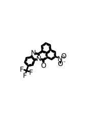 O=c1c2cc([N+](=O)[O-])cc3cccc(c32)c2nc3ccc(C(F)(F)F)cc3n12